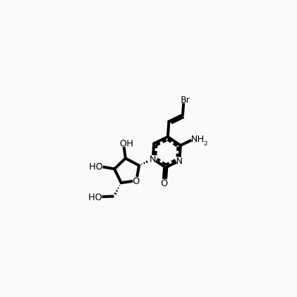 Nc1nc(=O)n([C@@H]2O[C@H](CO)C(O)C2O)cc1/C=C/Br